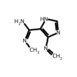 C=Nc1nc[nH]c1/C(N)=N\C